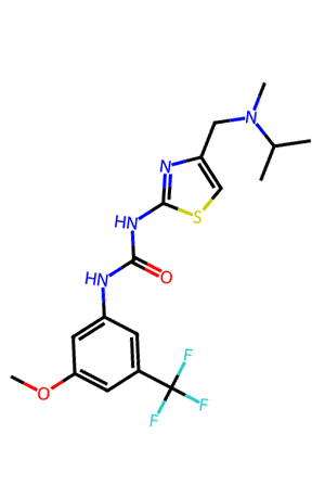 COc1cc(NC(=O)Nc2nc(CN(C)C(C)C)cs2)cc(C(F)(F)F)c1